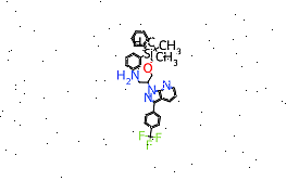 CC(C)(C)[Si](COCC(CN)n1nc(-c2ccc(C(F)(F)F)cc2)c2cccnc21)(c1ccccc1)c1ccccc1